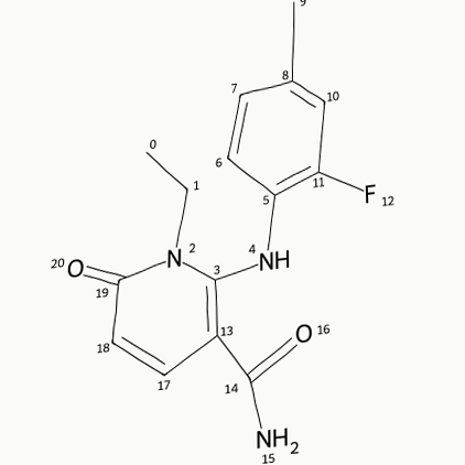 CCn1c(Nc2ccc(C)cc2F)c(C(N)=O)ccc1=O